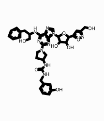 O=C(NCc1cccc(O)c1)NC1CCN(c2nc(NC(CO)Cc3ccccc3)c3ncn(C4OC(c5cc(CO)no5)C(O)C4O)c3n2)C1